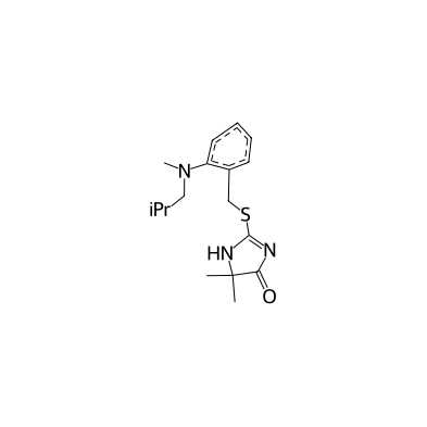 CC(C)CN(C)c1ccccc1CSC1=NC(=O)C(C)(C)N1